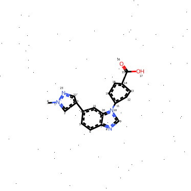 Cn1cc(-c2ccc3ncn(-c4ccc(C(=O)O)cc4)c3c2)cn1